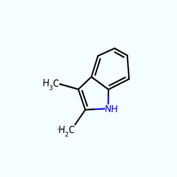 [CH2]c1[nH]c2ccccc2c1C